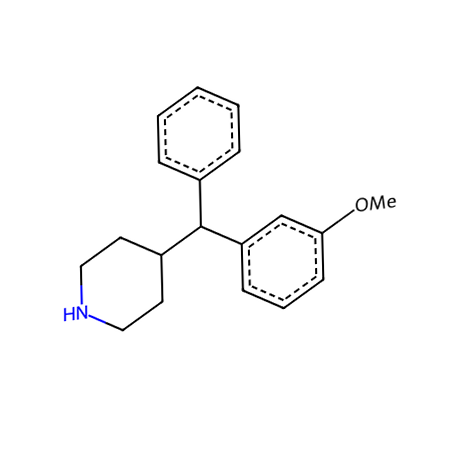 COc1cccc(C(c2ccccc2)C2CCNCC2)c1